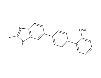 COc1ccccc1-c1ccc(-c2ccc3nc(C)[nH]c3c2)cc1